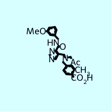 COc1cccc(CNC(=O)c2ncncc2CN(CC(C)=O)Cc2ccc(C(=O)O)c(C)c2)c1